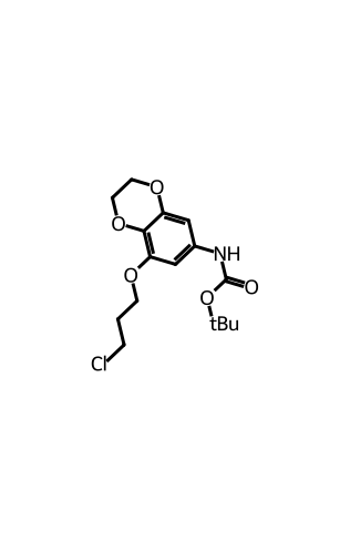 CC(C)(C)OC(=O)Nc1cc(OCCCCl)c2c(c1)OCCO2